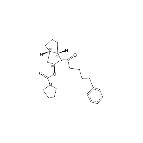 O=C(O[C@H]1C[C@@H]2CCC[C@@H]2N1C(=O)CCCCc1ccccc1)N1CCCC1